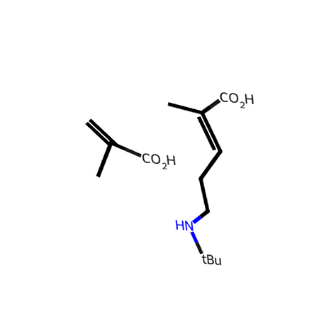 C=C(C)C(=O)O.CC(=CCCNC(C)(C)C)C(=O)O